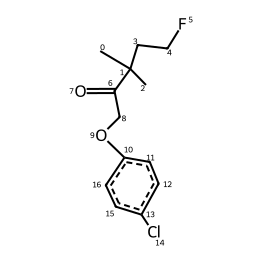 CC(C)(CCF)C(=O)COc1ccc(Cl)cc1